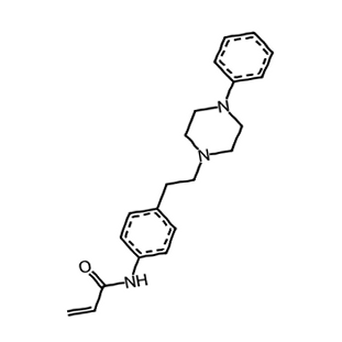 C=CC(=O)Nc1ccc(CCN2CCN(c3ccccc3)CC2)cc1